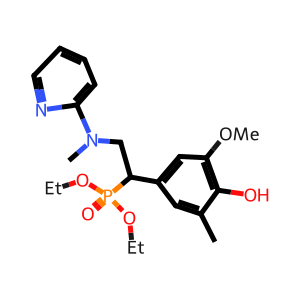 CCOP(=O)(OCC)C(CN(C)c1ccccn1)c1cc(C)c(O)c(OC)c1